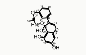 CC(=O)NOC1(O)C(c2cccc(Cl)c2)=COc2cc(O)cc(O)c21